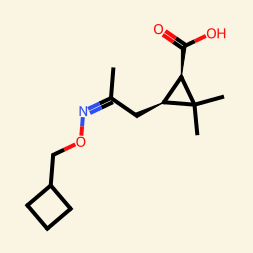 CC(C[C@H]1[C@@H](C(=O)O)C1(C)C)=NOCC1CCC1